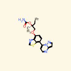 CC(C)C[C@@](C)(COc1ccc(-c2ccnc3ccnn23)c2scnc12)OC(N)=O